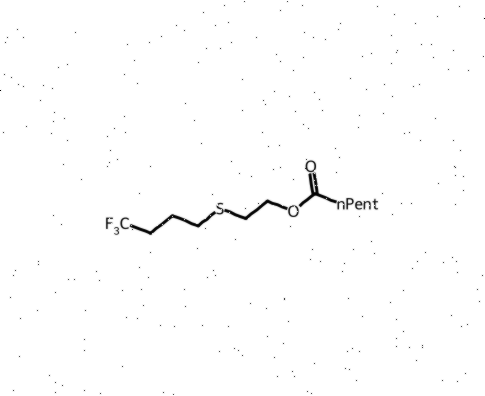 CCCCCC(=O)OCCSCCCC(F)(F)F